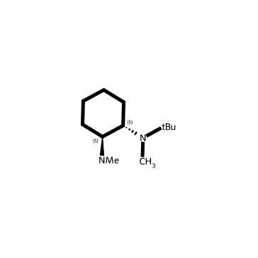 CN[C@H]1CCCC[C@@H]1N(C)C(C)(C)C